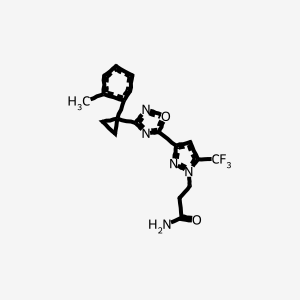 Cc1ccccc1C1(c2noc(-c3cc(C(F)(F)F)n(CCC(N)=O)n3)n2)CC1